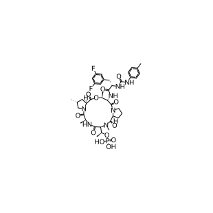 Cc1ccc(NC(=O)N[C@@H](Cc2cc(F)cc(F)c2)C(=O)N[C@@H]2C(=O)N3CCC[C@H]3C(=O)N(C)[C@@H]([C@H](C)OP(=O)(O)O)C(=O)N[C@@H](C)C(=O)N3C[C@H](C)C[C@H]3C(=O)O[C@H]2C)cc1